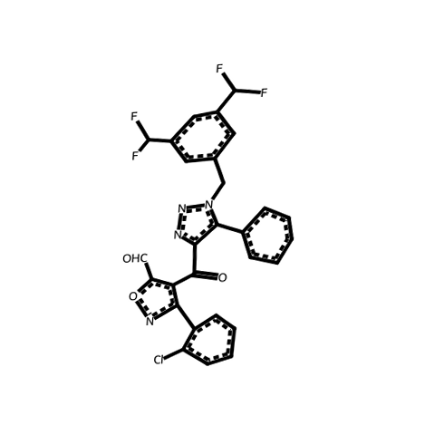 O=Cc1onc(-c2ccccc2Cl)c1C(=O)c1nnn(Cc2cc(C(F)F)cc(C(F)F)c2)c1-c1ccccc1